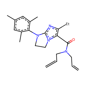 C=CCN(CC=C)C(=O)c1c(CC)nc2n1CCN2c1c(C)cc(C)cc1C